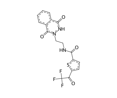 O=C(NCCn1[nH]c(=O)c2ccccc2c1=O)c1ccc(C(=O)C(F)(F)F)s1